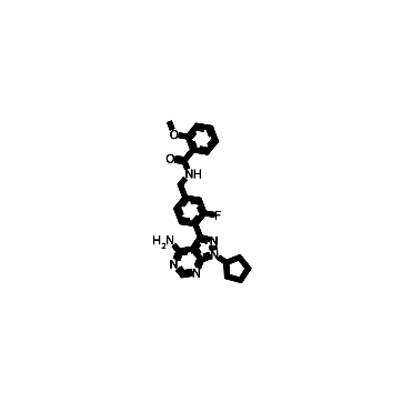 COc1ccccc1C(=O)NCc1ccc(-c2nn(C3CCCC3)c3ncnc(N)c23)c(F)c1